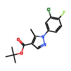 Cc1c(C(=O)OC(C)(C)C)cnn1-c1ccc(F)c(Cl)c1